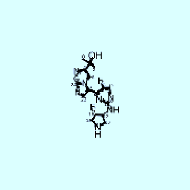 CC(C)(O)c1cn2c(-c3nc(N[C@H]4CNC[C@@H]4F)ncc3F)cnc2cn1